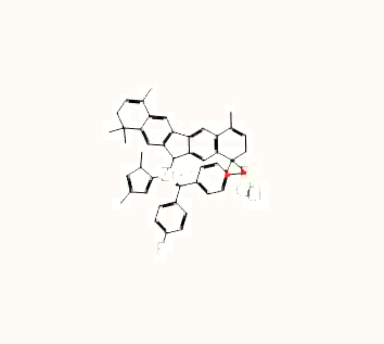 CC1=CC(C)[C]([Zr+2](=[C](c2ccc(F)cc2)c2ccc(F)cc2)[CH]2c3cc4c(cc3-c3cc5c(cc32)C(C)(C)CC=C5C)C(C)=CCC4(C)C)=C1.[Cl-].[Cl-]